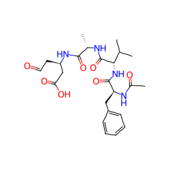 CC(=O)N[C@@H](Cc1ccccc1)C(=O)N[C@H](C(=O)N[C@@H](C)C(=O)N[C@H](CC=O)CC(=O)O)C(C)C